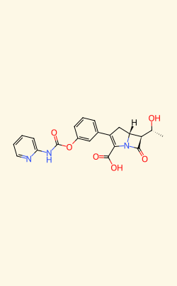 C[C@@H](O)[C@H]1C(=O)N2C(C(=O)O)=C(c3cccc(OC(=O)Nc4ccccn4)c3)C[C@H]12